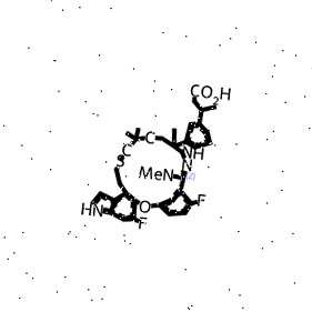 CN/C1=N\C(=N)C(C)(c2cccc(C(C)CC(=O)O)c2)CCC(C)(C)CSCCc2c(c(F)cc3[nH]ccc23)Oc2ccc(F)c1c2